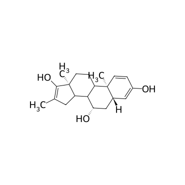 CC1=C(O)[C@@]2(C)CCC3C(C2C1)[C@@H](O)C[C@H]1C=C(O)C=C[C@]31C